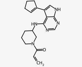 C=CC(=O)N1CCCC(Nc2ncnc3[nH]cc(C4=CCCC4)c23)C1